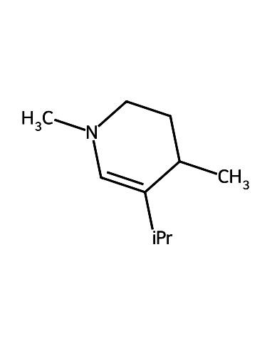 CC(C)C1=CN(C)CCC1C